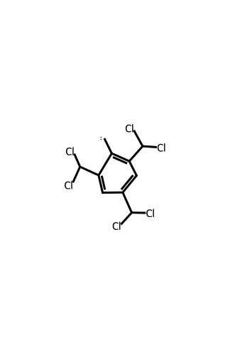 [CH]c1c(C(Cl)Cl)cc(C(Cl)Cl)cc1C(Cl)Cl